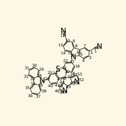 N#Cc1ccc2c(c1)c1cc(C#N)ccc1n2-c1ccc2c(c1)Sc1cc(-n3c4ccccc4c4ccccc43)ccc1C21c2cccnc2-c2ncccc21